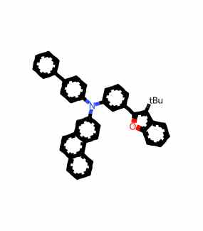 CC(C)(C)c1c(-c2cccc(N(c3ccc(-c4ccccc4)cc3)c3ccc4c(ccc5ccccc54)c3)c2)oc2ccccc12